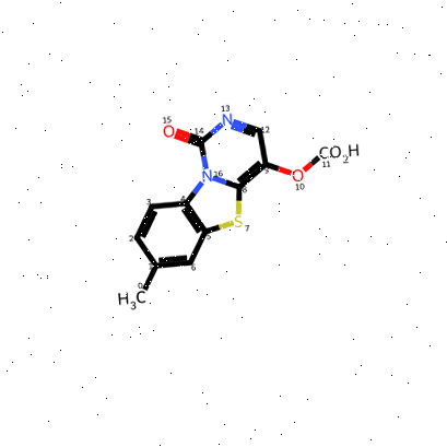 Cc1ccc2c(c1)sc1c(OC(=O)O)cnc(=O)n12